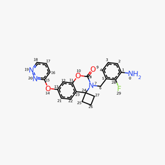 Nc1cccc(CN2C(=O)Oc3cc(Oc4cccnn4)ccc3C23CCC3)c1F